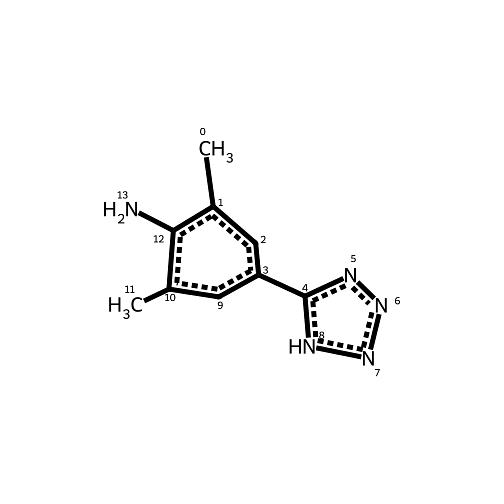 Cc1cc(-c2nnn[nH]2)cc(C)c1N